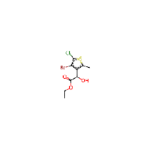 CCOC(=O)C(O)c1c(C)sc(Cl)c1Br